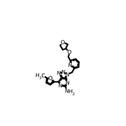 Cc1ccc(-c2nc(N)nc3c2nnn3Cc2cccc(COC3CCOC3)n2)o1